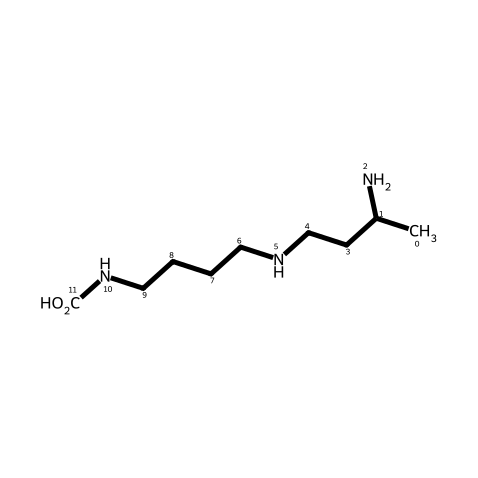 CC(N)CCNCCCCNC(=O)O